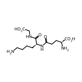 NCCCC[C@H](NC(=O)CC[C@H](N)C(=O)O)C(=O)NCC(=O)O